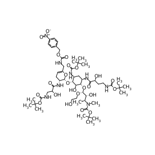 C[C@@H]([C@@H](O)[C@H](OCCO)O[C@@H]1[C@@H](O)[C@H](O[C@H]2OC(CNC(=O)OCc3ccc([N+](=O)[O-])cc3)=CC[C@H]2NC(=O)C(O)CNC(=O)OC(C)(C)C)[C@@H](NC(=O)OC(C)(C)C)C[C@H]1NC(=O)[C@@H](O)CCNC(=O)OC(C)(C)C)N(C)C(=O)OC(C)(C)C